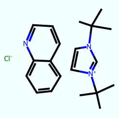 CC(C)(C)n1cc[n+](C(C)(C)C)c1.[Cl-].c1ccc2ncccc2c1